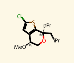 CCC[C@]1(CC(C)C)OC[C@@H](OC)c2cc(Cl)sc21